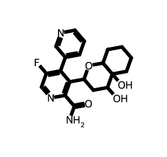 NC(=O)c1ncc(F)c(-c2cccnc2)c1C1CC(O)C2(O)CCCCC2O1